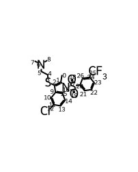 Cc1c(SCCN(C)C)c2cc(Cl)ccc2n1S(=O)(=O)c1cccc(C(F)(F)F)c1